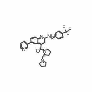 O=C(c1cc(NCc2ccc(C(F)(F)F)cc2)nc2ccc(-c3cccnc3)cc12)N1CCC[C@H]1CN1CCCC1